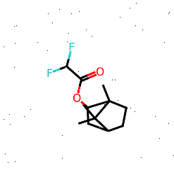 CC1(C)C2CCC1(C)C(OC(=O)C(F)F)C2